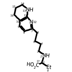 CCC(NCCCCc1ccc2c(n1)NCCC2)C(=O)O